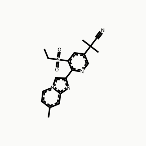 CCS(=O)(=O)c1cc(C(C)(C)C#N)cnc1-c1cn2ccc(C)cc2n1